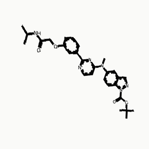 CC(C)NC(=O)COc1cccc(-c2nccc(N(C)c3ccc4c(cnn4C(=O)OC(C)(C)C)c3)n2)c1